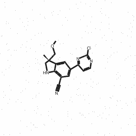 COC[C@@]1(C)CNc2c(C#N)cc(-c3ccnc(Cl)n3)cc21